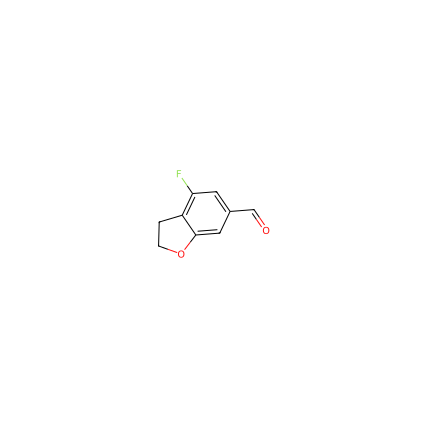 O=Cc1cc(F)c2c(c1)OCC2